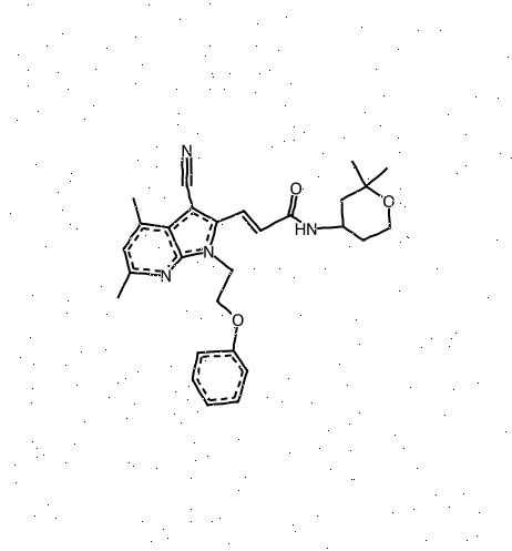 Cc1cc(C)c2c(C#N)c(C=CC(=O)NC3CCOC(C)(C)C3)n(CCOc3ccccc3)c2n1